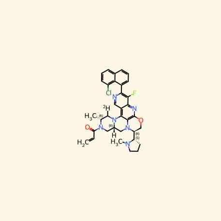 [2H]C1[C@@H](C)N(C(=O)C=C)C[C@H]2CN3c4c(nc5c(F)c(-c6cccc7cccc(Cl)c67)ncc5c4N12)OC[C@H]3[C@@H]1CCCN1C